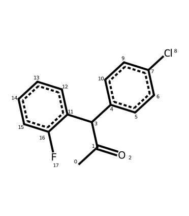 CC(=O)C(c1ccc(Cl)cc1)c1ccccc1F